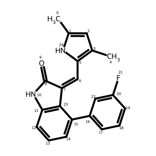 Cc1cc(C)c(/C=C2\C(=O)Nc3cccc(-c4cccc(F)c4)c32)[nH]1